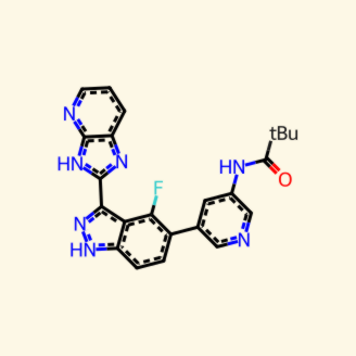 CC(C)(C)C(=O)Nc1cncc(-c2ccc3[nH]nc(-c4nc5cccnc5[nH]4)c3c2F)c1